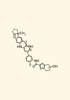 C[C@]1(c2ccc(Nc3cc(-c4ccc(F)c(NC(=O)c5cc6c(s5)CC[C@H](O)C6)c4)n[nH]c3=O)nc2)CCCN1